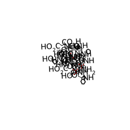 CC(C)C[C@H](NC(=O)[C@H](Cc1ccc(O)cc1)NC(=O)[C@H](CC(=O)O)NC(=O)CNC(=O)[C@H](CC(=O)O)NC(=O)[C@H](Cc1c[nH]cn1)NC(=O)[C@H](Cc1ccccc1)NC(=O)[C@@H]1CCCN1C(=O)[C@H](Cc1ccc(O)cc1)NC(=O)CNC(=O)[C@H](Cc1c[nH]c2ccccc12)NC(=O)[C@@H](N)[C@@H](C)O)C(=O)N[C@@H](CC(N)=O)C(=O)N[C@@H](CC(=O)O)C(=O)N[C@@H](CCC(=O)O)C(=O)O